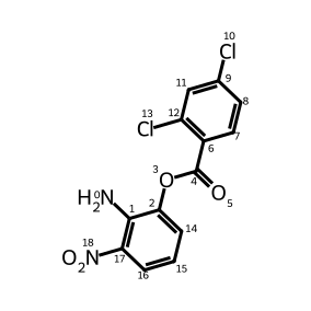 Nc1c(OC(=O)c2ccc(Cl)cc2Cl)cccc1[N+](=O)[O-]